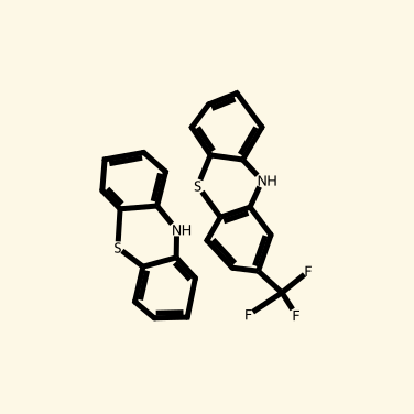 FC(F)(F)c1ccc2c(c1)Nc1ccccc1S2.c1ccc2c(c1)Nc1ccccc1S2